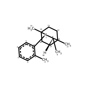 Cc1ccccc1N1[C@@H](C)C2(C)CCC1(C)CC2